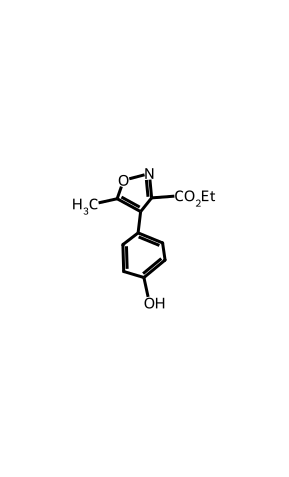 CCOC(=O)c1noc(C)c1-c1ccc(O)cc1